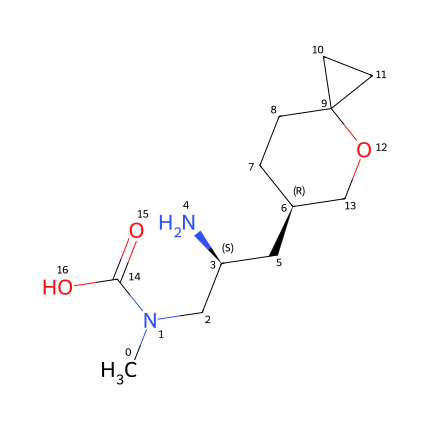 CN(C[C@@H](N)C[C@H]1CCC2(CC2)OC1)C(=O)O